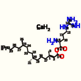 C/C(=C\C(=O)OC(=O)C(N)CCCNC(=N)N)CCC[C@H](C)CCC[C@H](C)CCCC(C)C.[CaH2]